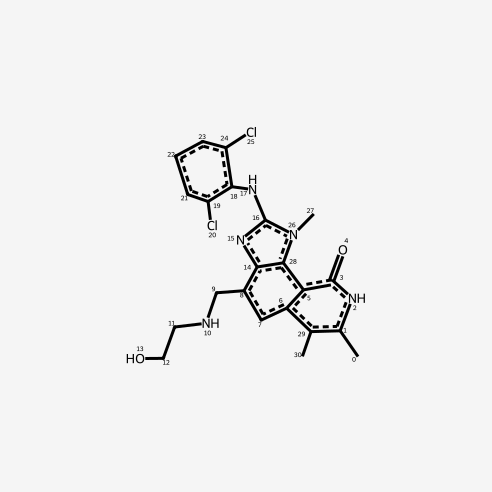 Cc1[nH]c(=O)c2c(cc(CNCCO)c3nc(Nc4c(Cl)cccc4Cl)n(C)c32)c1C